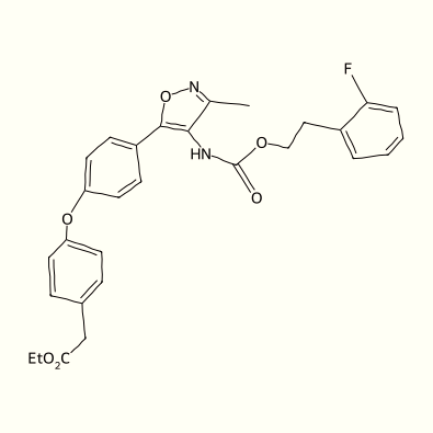 CCOC(=O)Cc1ccc(Oc2ccc(-c3onc(C)c3NC(=O)OCCc3ccccc3F)cc2)cc1